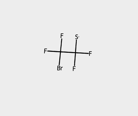 FC(F)([S])C(F)(F)Br